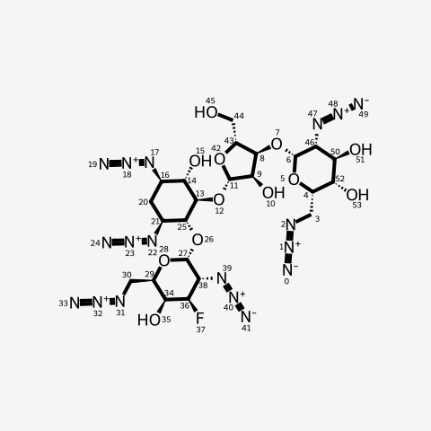 [N-]=[N+]=NC[C@@H]1O[C@H](O[C@H]2[C@@H](O)[C@H](O[C@@H]3[C@@H](O)[C@H](N=[N+]=[N-])C[C@H](N=[N+]=[N-])[C@H]3O[C@H]3O[C@H](CN=[N+]=[N-])[C@H](O)[C@H](F)[C@H]3N=[N+]=[N-])O[C@@H]2CO)[C@H](N=[N+]=[N-])[C@@H](O)[C@@H]1O